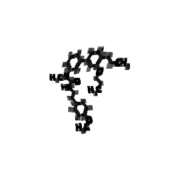 CCCOc1cc(-c2cccc(N(C)C(=O)NCCc3ccc(OC)cc3)c2)ccc1CCC